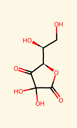 O=C1O[C@H]([C@@H](O)CO)C(=O)C1(O)O